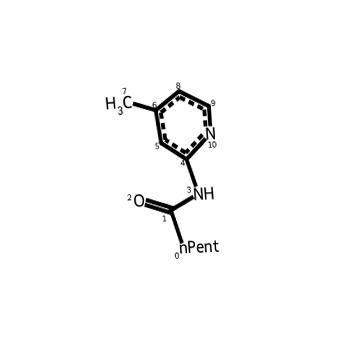 CCCCCC(=O)Nc1cc(C)ccn1